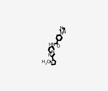 CN1CCCC1c1cn2cc(NC(=O)c3ccc(-n4cncn4)cc3)ccc2n1